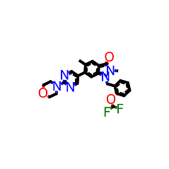 Cc1cc2c(=O)n(C)n(Cc3ccccc3OC(F)F)c2cc1-c1cnc(N2CCOCC2)nc1